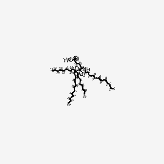 CCCCCCCCCCCC(=O)NC(CCC(=O)O)C(=O)OC(CCCCCCCC)(CCCCCCCC)CCCCCCCCCCC